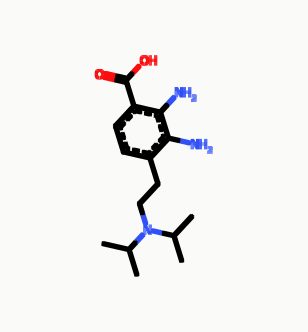 CC(C)N(CCc1ccc(C(=O)O)c(N)c1N)C(C)C